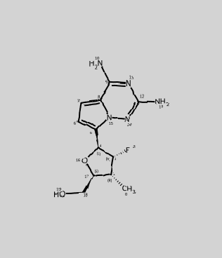 C[C@H]1[C@@H](F)[C@H](c2ccc3c(N)nc(N)nn23)O[C@@H]1CO